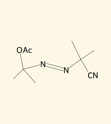 CC(=O)OC(C)(C)N=NC(C)(C)C#N